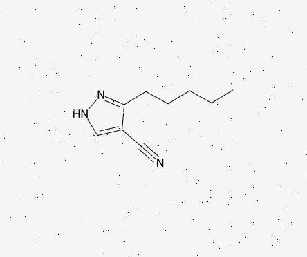 CCCCCc1n[nH][c]c1C#N